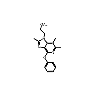 CC(=O)OCCn1c(C)nc2c(Oc3ccccc3)nc(C)c(C)c21